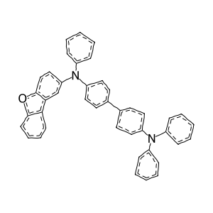 c1ccc(N(c2ccccc2)c2ccc(-c3ccc(N(c4ccccc4)c4ccc5oc6ccccc6c5c4)cc3)cc2)cc1